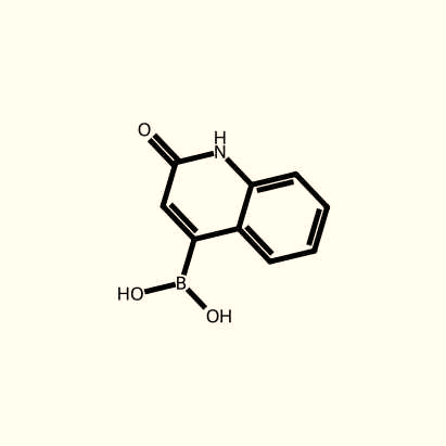 O=c1cc(B(O)O)c2ccccc2[nH]1